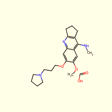 CNc1c2c(nc3cc(OCCCN4CCCC4)c(OC)cc13)CCC2.O=CO